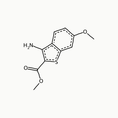 COC(=O)c1sc2cc(OC)ccc2c1N